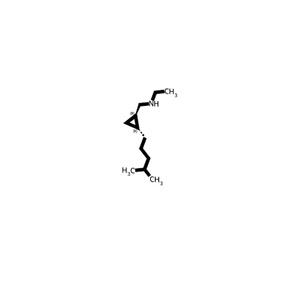 CCNC[C@@H]1C[C@H]1CCCC(C)C